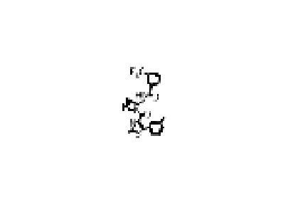 Cc1cccc(-c2sc(C)nc2C(=O)N2C[C@@H]3CC3[C@H]2CNC(=O)c2cccc(C(F)(F)F)c2)c1